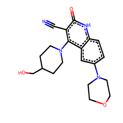 N#Cc1c(N2CCC(CO)CC2)c2cc(N3CCOCC3)ccc2[nH]c1=O